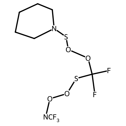 FC(F)(F)NOOSC(F)(F)OOSN1CCCCC1